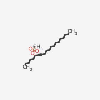 CCCCCCCCCCCCC#CC(CCCCC)OS(C)(=O)=O